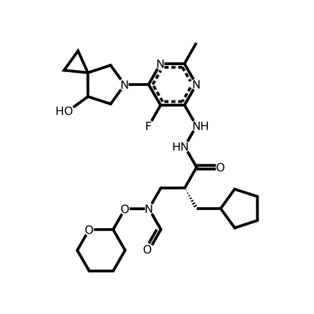 Cc1nc(NNC(=O)[C@H](CC2CCCC2)CN(C=O)OC2CCCCO2)c(F)c(N2CC(O)C3(CC3)C2)n1